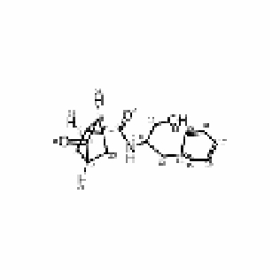 O=C1[C@H]2C[C@H]3[C@H]1[C@@]3(C(=O)N[C@@H](CO)Cc1ccccc1)C2